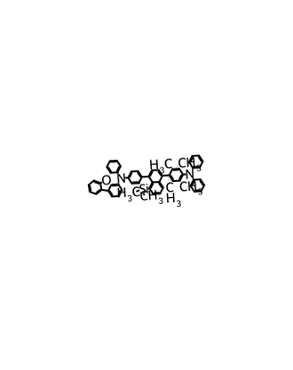 Cc1c(C)c(N(c2ccccc2)c2ccccc2)c(C)c(C)c1-c1ccc2c3c(cccc13)[Si](C)(C)c1cc(N(c3ccccc3)c3cccc4c3oc3ccccc34)ccc1-2